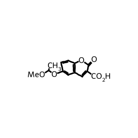 COC(C)Oc1ccc2oc(=O)c(C(=O)O)cc2c1